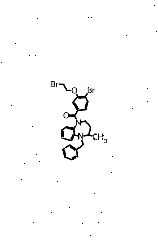 CC1CCN(C(=O)c2ccc(Br)c(OCCBr)c2)c2ccccc2N1Cc1ccccc1